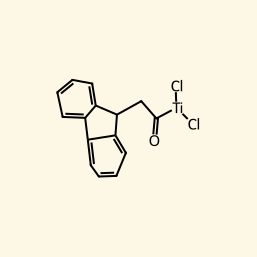 O=[C](CC1c2ccccc2-c2ccccc21)[Ti]([Cl])[Cl]